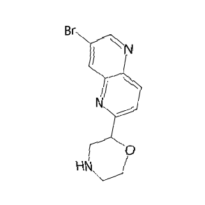 Brc1cnc2ccc(C3CNCCO3)nc2c1